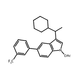 CC(=O)On1cc(C(C)C2CCCCC2)c2cc(-c3cccc(C(F)(F)F)c3)ccc21